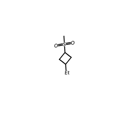 CCC1CC(S(C)(=O)=O)C1